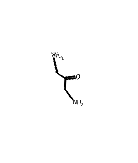 NCC(=O)CN